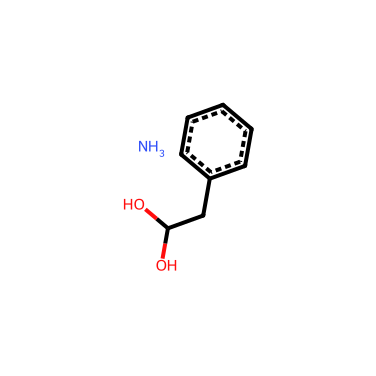 N.OC(O)Cc1ccccc1